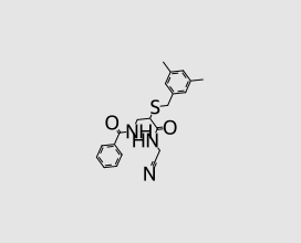 Cc1cc(C)cc(CSC(CNC(=O)c2ccccc2)C(=O)NCC#N)c1